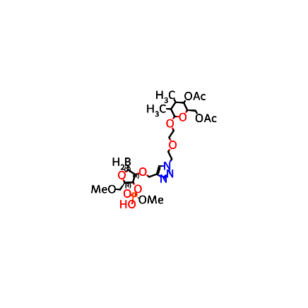 B[C@@H]1O[C@H](COC)C(OP(=O)(O)OC)[C@@H]1OCc1cn(CCOCCOC2OC(COC(C)=O)C(OC(C)=O)C(C)C2C)nn1